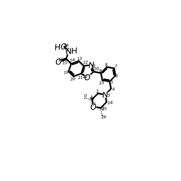 C[C@@H]1CN(Cc2cccc(-c3nc4cc(C(=O)NO)ccc4o3)c2)C[C@H](C)O1